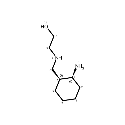 N[C@H]1CCCC[C@H]1CNCCO